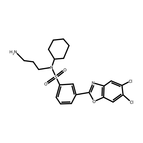 NCCCN(C1CCCCC1)S(=O)(=O)c1cccc(-c2nc3cc(Cl)c(Cl)cc3o2)c1